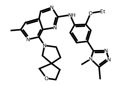 CCOc1cc(-c2nnc(C)n2C)ccc1Nc1ncc2cc(C)nc(N3CCC4(CCOC4)C3)c2n1